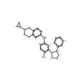 FC(F)(F)c1cnc(Nc2ccc3c(c2)CCN(C2CC2)C3)nc1N1OCCC1c1ccccc1